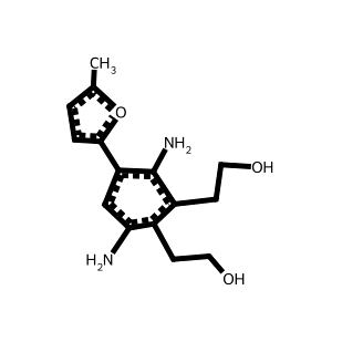 Cc1ccc(-c2cc(N)c(CCO)c(CCO)c2N)o1